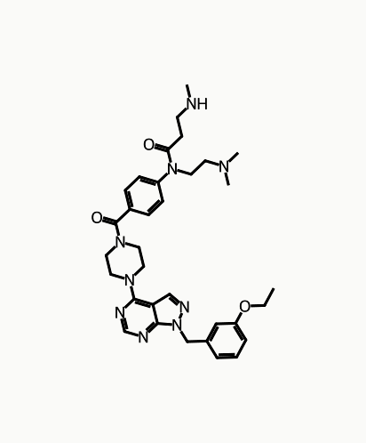 CCOc1cccc(Cn2ncc3c(N4CCN(C(=O)c5ccc(N(CCN(C)C)C(=O)CCNC)cc5)CC4)ncnc32)c1